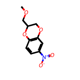 COCC1COc2cc([N+](=O)[O-])ccc2O1